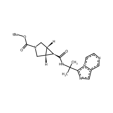 CC(C)(C)OC(=O)N1C[C@@H]2[C@H](C1)[C@H]2C(=O)NC(C)(C)c1ncc2cnccn12